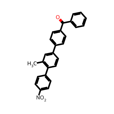 Cc1cc(-c2ccc(C(=O)c3ccccc3)cc2)ccc1-c1ccc([N+](=O)[O-])cc1